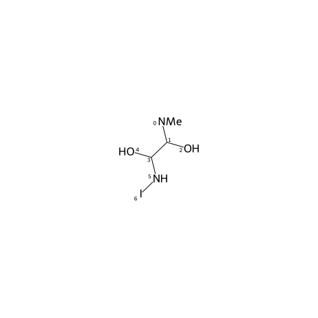 CNC(O)C(O)NI